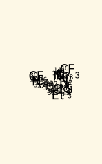 CCc1c(C)sc(-c2cccc(-n3nccc3C(F)(F)F)n2)c1COc1ccc(C2CCN(CC(F)(F)F)CC2)cc1C